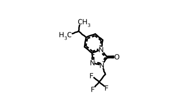 CC(C)c1ccn2c(=O)n(CC(F)(F)F)nc2c1